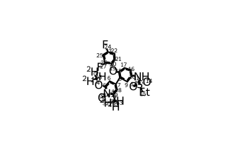 [2H]C([2H])([2H])Oc1cc(-c2cc(NS(=O)(=O)CC)ccc2Oc2ccc(F)cc2F)cc(C([2H])([2H])[2H])[n+]1[O-]